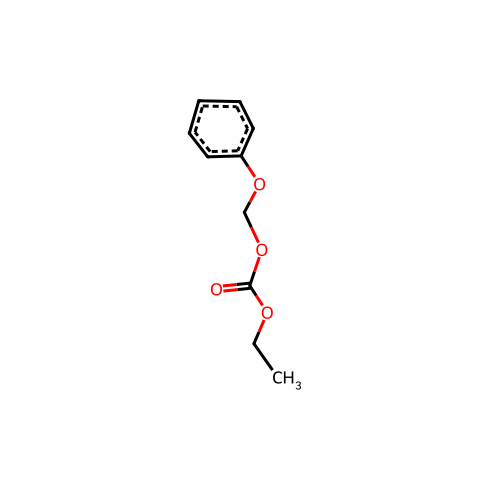 CCOC(=O)OCOc1ccccc1